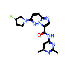 Cc1cc(NC(=O)c2cnc3ccc(N4CC[C@H](F)C4)nn23)nc(C)n1